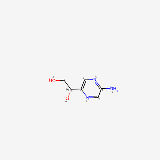 Nc1cnc([C@H](O)CO)cn1